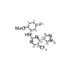 COc1c[c]c(F)cc1Nc1ncc(C(F)(F)F)c(-c2cnn(C)c2)n1